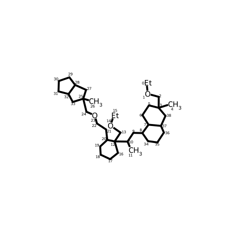 CCOCC1(C)CCC2C(CC(C)C3(COCC)CCCCC3CCOCC3(C)CC4CCCC4C3)CCCC2C1